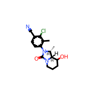 Cc1c(N2C(=O)N3CCCC(O)[C@H]3[C@H]2C)ccc(C#N)c1Cl